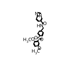 COc1ccc(OC)c(S(=O)(=O)c2ccc(CNC(=O)c3ccc4nccn4c3)cc2)c1